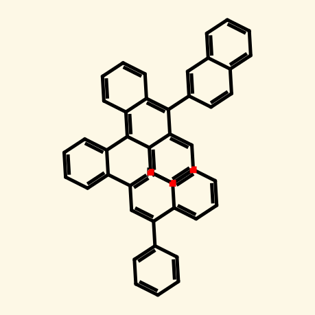 c1ccc(-c2cc(-c3ccccc3-c3c4ccccc4c(-c4ccc5ccccc5c4)c4ccccc34)nc3ccccc23)cc1